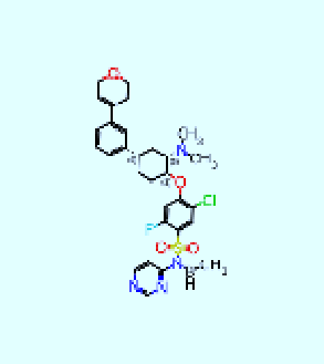 CBN(c1ccncn1)S(=O)(=O)c1cc(Cl)c(O[C@H]2CC[C@H](c3cccc(C4=CCOCC4)c3)C[C@@H]2N(C)C)cc1F